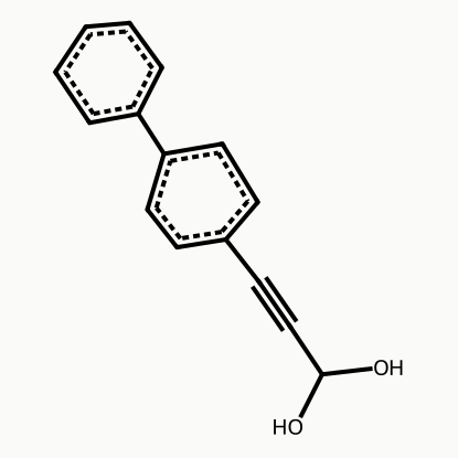 OC(O)C#Cc1ccc(-c2ccccc2)cc1